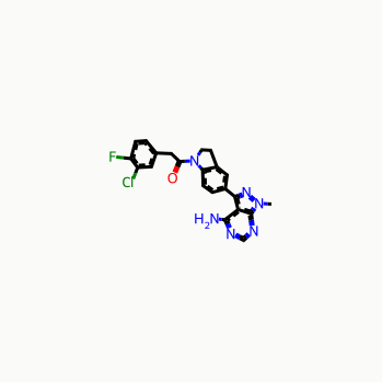 Cn1nc(-c2ccc3c(c2)CCN3C(=O)Cc2ccc(F)c(Cl)c2)c2c(N)ncnc21